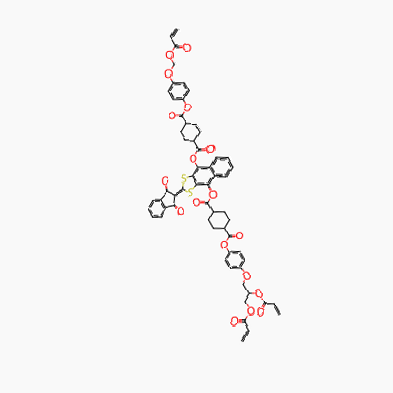 C=CC(=O)OCOc1ccc(OC(=O)C2CCC(C(=O)Oc3c4c(c(OC(=O)C5CCC(C(=O)Oc6ccc(OCC(COC(=O)C=C)OC(=O)C=C)cc6)CC5)c5ccccc35)SC(=C3C(=O)c5ccccc5C3=O)S4)CC2)cc1